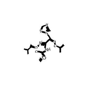 COC(=O)NC(=NOCC(C)C)C(=NOC(C)C)n1cncn1